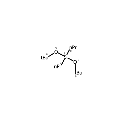 CCC[Si](CCC)(OC(C)(C)C)OC(C)(C)C